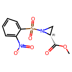 COC(=O)[C@H]1CN1S(=O)(=O)c1ccccc1[N+](=O)[O-]